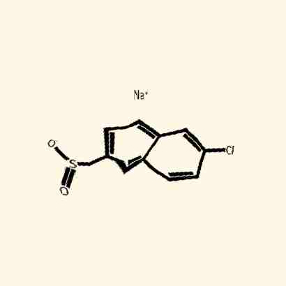 O=S([O-])c1ccc2cc(Cl)ccc2c1.[Na+]